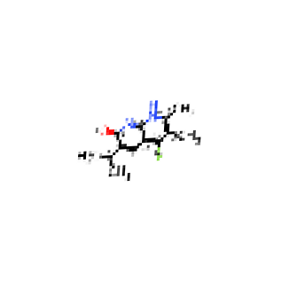 Cc1[nH]c2nc(=O)c(C(C)C)cc-2c(F)c1C